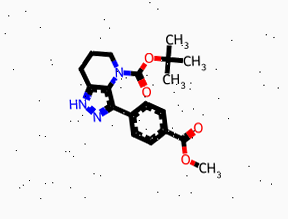 COC(=O)c1ccc(-c2n[nH]c3c2N(C(=O)OC(C)(C)C)CCC3)cc1